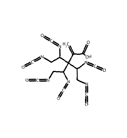 C=C(C(=O)O)C(C(CN=C=O)N=C=O)(C(CN=C=O)N=C=O)C(CN=C=O)N=C=O